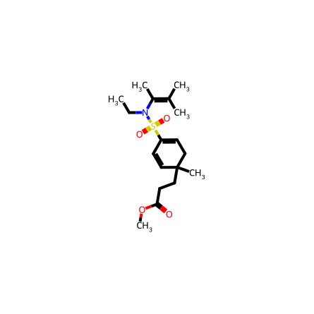 CCN(C(C)=C(C)C)S(=O)(=O)C1=CCC(C)(CCC(=O)OC)C=C1